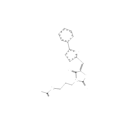 CC(=O)NCCCN1C(=O)/C(=C\c2ccc(-c3ccccc3)o2)SC1=S